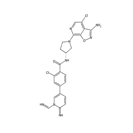 N=Cn1cc(-c2ccc(C(=O)N[C@@H]3CCN(c4ncc(Cl)c5c(N)noc45)C3)c(Cl)c2)ccc1=N